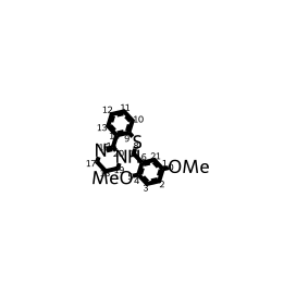 COc1ccc(OC)c(CSc2ccccc2C2=NCCCN2)c1